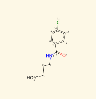 O=C(O)CCCNC(=O)c1ccc(Cl)cc1